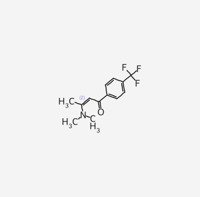 C/C(=C/C(=O)c1ccc(C(F)(F)F)cc1)N(C)C